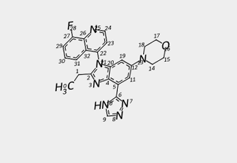 CCc1nc2c(-c3nnc[nH]3)cc(N3CCOCC3)cc2n1-c1ccnc2c(F)cccc12